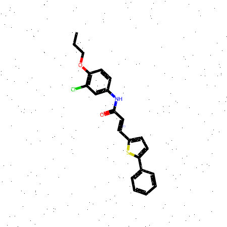 CCCOc1ccc(NC(=O)/C=C/c2ccc(-c3ccccc3)s2)cc1Cl